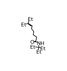 CCC(=CCCCCC(=O)NC(CC)(CC)CC)CC